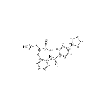 O=C(O)CN1Cc2ccccc2N(C(=O)c2ccc(N3CCCC3)nc2)CC1=O